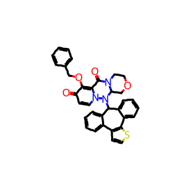 O=C1c2c(OCc3ccccc3)c(=O)ccn2N(C2c3ccccc3-c3ccsc3-c3ccccc32)C2COCCN12